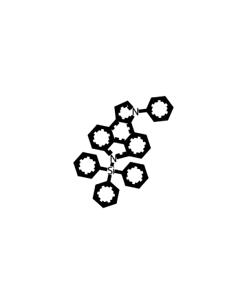 c1ccc(-n2ccc3c4cccc5c4c4c(cccc4n5[Si](c4ccccc4)(c4ccccc4)c4ccccc4)c32)cc1